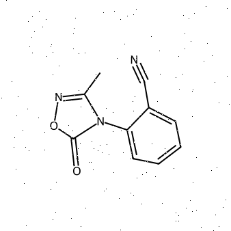 Cc1noc(=O)n1-c1ccccc1C#N